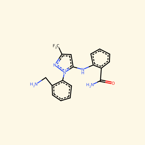 NCc1ccccc1-n1nc(C(F)(F)F)cc1Nc1ccccc1C(N)=O